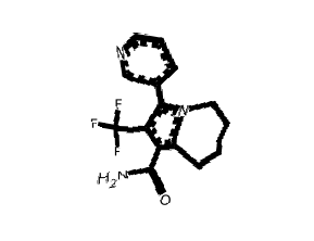 NC(=O)c1c(C(F)(F)F)c(-c2cccnc2)n2c1CCCC2